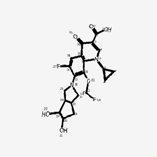 O=C(O)c1cn(C2CC2)c2c(OC(F)F)c(N3CC4CC(O)C(O)C4C3)c(F)cc2c1=O